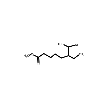 CCC(CCCCC(=O)OC)C(C)N